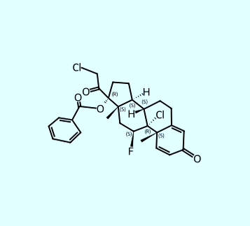 C[C@]12C=CC(=O)C=C1CC[C@H]1[C@@H]3CC[C@](OC(=O)c4ccccc4)(C(=O)CCl)[C@@]3(C)C[C@H](F)[C@@]12Cl